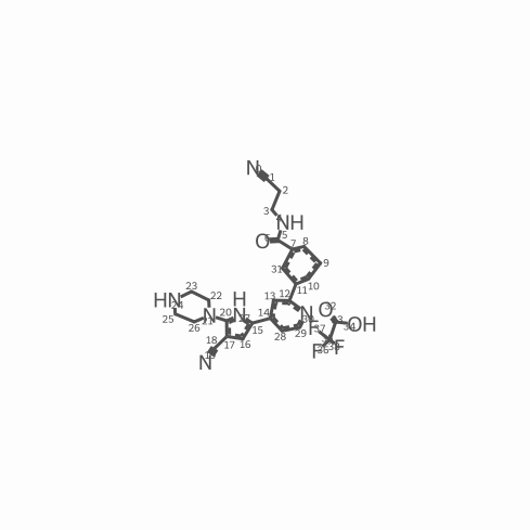 N#CCCNC(=O)c1cccc(-c2cc(-c3cc(C#N)c(N4CCNCC4)[nH]3)ccn2)c1.O=C(O)C(F)(F)F